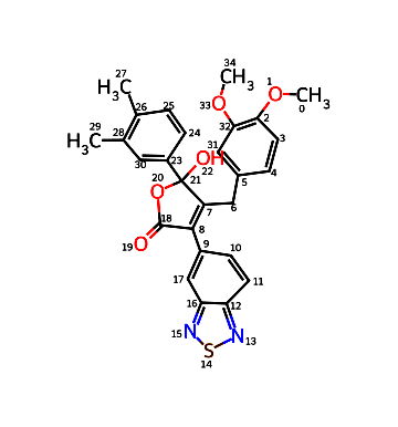 COc1ccc(CC2=C(c3ccc4nsnc4c3)C(=O)OC2(O)c2ccc(C)c(C)c2)cc1OC